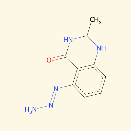 CC1NC(=O)c2c(N=NN)cccc2N1